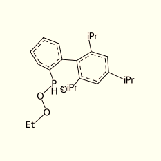 CCOO[PH](=O)c1ccccc1-c1c(C(C)C)cc(C(C)C)cc1C(C)C